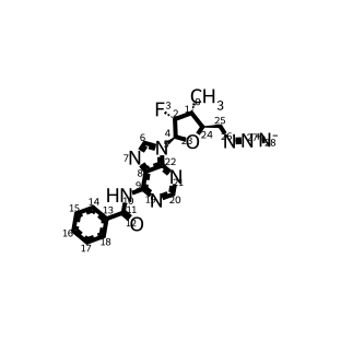 C[C@H]1[C@@H](F)[C@H](n2cnc3c(NC(=O)c4ccccc4)ncnc32)O[C@@H]1CN=[N+]=[N-]